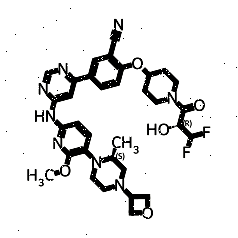 COc1nc(Nc2cc(-c3ccc(OC4CCN(C(=O)[C@@H](O)C(F)F)CC4)c(C#N)c3)ncn2)ccc1N1CCN(C2COC2)C[C@@H]1C